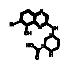 O=C(O)[C@@H]1C[C@@H](Nc2cnc3ccc(Br)c(O)c3n2)CCN1